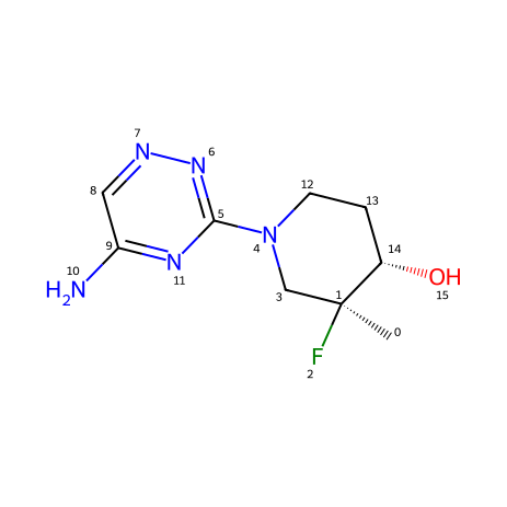 C[C@]1(F)CN(c2nncc(N)n2)CC[C@@H]1O